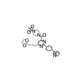 CS(=O)(=O)N1CCN(C(=O)c2cc(CCCC3OCCO3)nc(-c3ccc(-n4cccn4)cc3)n2)CC1